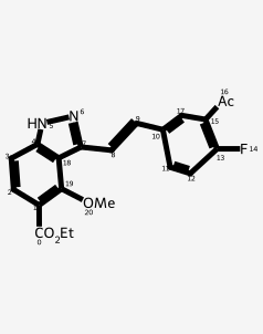 CCOC(=O)c1ccc2[nH]nc(C=Cc3ccc(F)c(C(C)=O)c3)c2c1OC